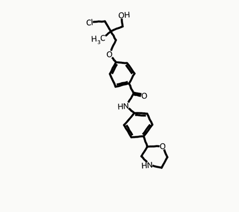 CC(CO)(CCl)COc1ccc(C(=O)Nc2ccc(C3CNCCO3)cc2)cc1